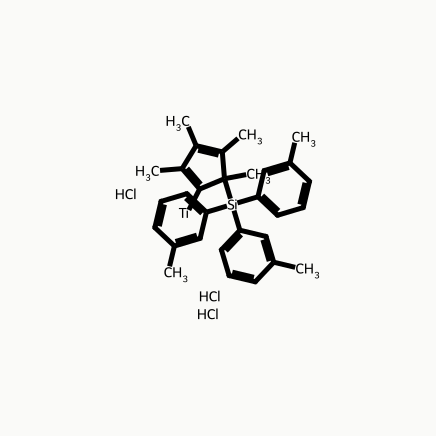 CC1=C(C)C(C)([Si](c2cccc(C)c2)(c2cccc(C)c2)c2cccc(C)c2)[C]([Ti])=C1C.Cl.Cl.Cl